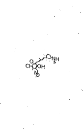 CO/N=C/c1c(C)c(Cl)c(OC)c(C/C=C(C)/C=C/[C@@]2(C)[C@H](C)CCC(NC3CC3)[C@@H]2C)c1O